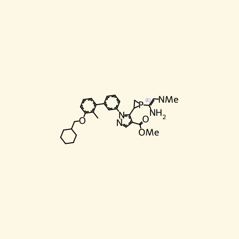 CN/C=C(\N)P1CC1c1c(C(=O)OC)cnn1-c1cccc(-c2cccc(OCC3CCCCC3)c2C)c1